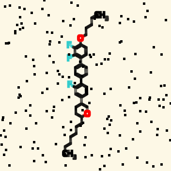 CCCCCCCC1CCC(c2ccc(-c3ccc(-c4ccc(OCCCCC)c(F)c4F)cc3)c(F)c2)CO1